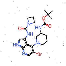 CC(C)(C)OC(=O)N[C@@H]1CCCN(c2c(Br)cnc3[nH]cc(NC(=O)N4CCC4)c23)C1